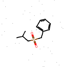 CC(C)CS(=O)(=O)Cc1ccccc1